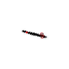 CCCCCCCCCC=CC=CC=CC=CC=CC(=O)OCCC